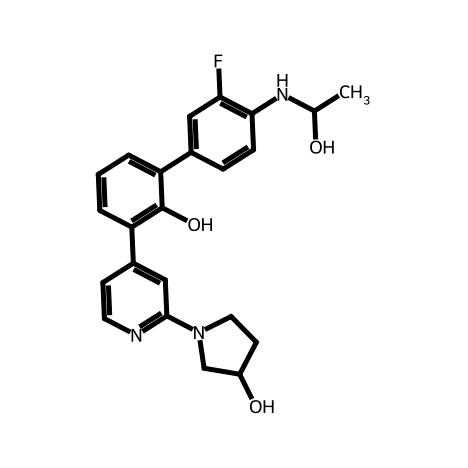 CC(O)Nc1ccc(-c2cccc(-c3ccnc(N4CCC(O)C4)c3)c2O)cc1F